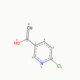 [CH]=C(O)c1ccc(Cl)nc1